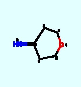 N=C1CCOCC1